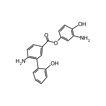 Nc1cc(OC(=O)c2ccc(N)c(-c3ccccc3O)c2)ccc1O